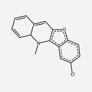 CN1c2c(oc3ccc(Cl)cc23)C=C2C=CC=CC21